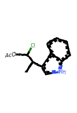 CC(=O)OC(Cl)C(C)c1c[nH]c2ccccc12